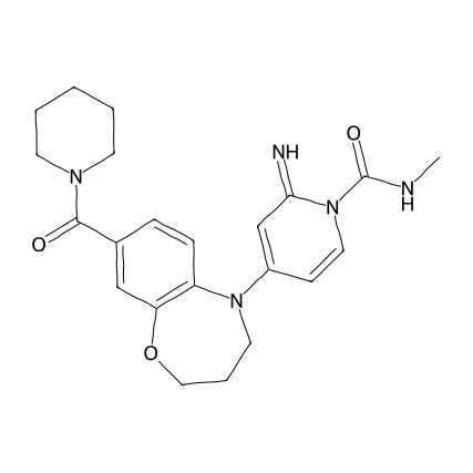 CNC(=O)n1ccc(N2CCCOc3cc(C(=O)N4CCCCC4)ccc32)cc1=N